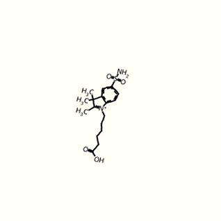 CC1=[N+](CCCCCC(=O)O)c2ccc(S(N)(=O)=O)cc2C1(C)C